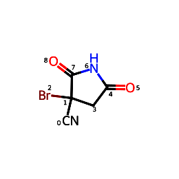 N#CC1(Br)CC(=O)NC1=O